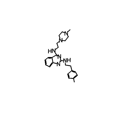 Cc1ccc(CCNc2nc(NCCN3CCN(C)CC3)c3ccccc3n2)cc1